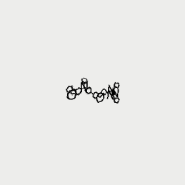 c1ccc(-c2nc(-c3ccccc3)nc(-c3ccc4c(c3)oc3ccc(-c5ccc(N(c6ccccc6)c6ccc7oc8ccccc8c7c6)cc5)cc34)n2)cc1